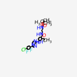 CCc1cc(Nc2nccn3c(-c4ccc(Cl)c(F)c4F)cnc23)ccc1C(=O)NCCCNC(=O)OC(C)(C)C